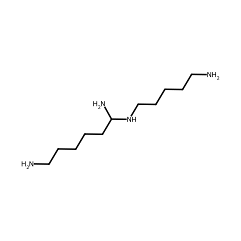 NCCCCCNC(N)CCCCCN